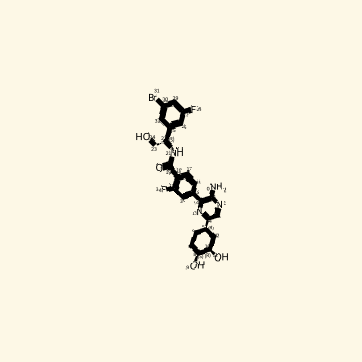 Nc1ncc([C@@H]2CC[C@H](O)[C@H](O)C2)nc1-c1ccc(C(=O)N[C@H](CO)c2cc(F)cc(Br)c2)c(F)c1